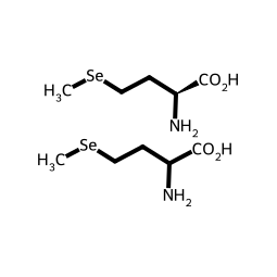 C[Se]CCC(N)C(=O)O.C[Se]CC[C@H](N)C(=O)O